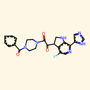 O=C(C(=O)N1CCN(C(=O)c2ccccc2)CC1)C1CNc2c(-c3cnc[nH]3)ncc(F)c21